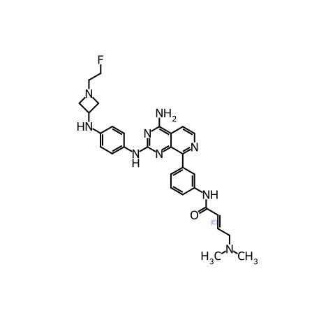 CN(C)C/C=C/C(=O)Nc1cccc(-c2nccc3c(N)nc(Nc4ccc(NC5CN(CCF)C5)cc4)nc23)c1